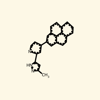 Cc1cc(-c2cc(-c3cc4ccc5cccc6ccc(c3)c4c56)ccn2)[nH]n1